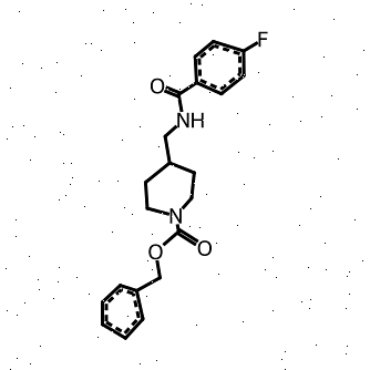 O=C(NCC1CCN(C(=O)OCc2ccccc2)CC1)c1ccc(F)cc1